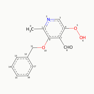 Cc1ncc(OO)c(C=O)c1OCc1ccccc1